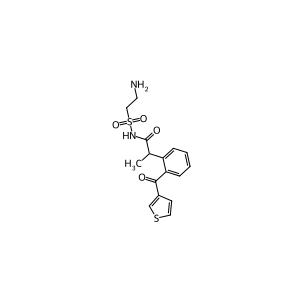 CC(C(=O)NS(=O)(=O)CCN)c1ccccc1C(=O)c1ccsc1